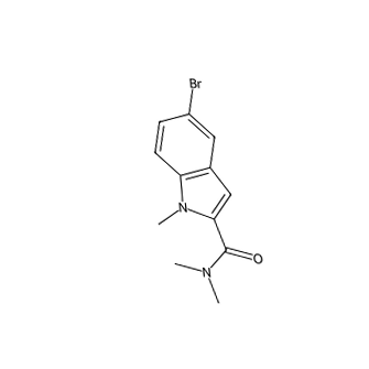 CN(C)C(=O)c1cc2cc(Br)ccc2n1C